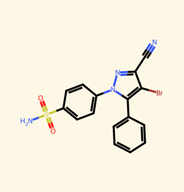 N#Cc1nn(-c2ccc(S(N)(=O)=O)cc2)c(-c2ccccc2)c1Br